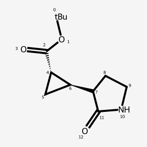 CC(C)(C)OC(=O)[C@H]1C[C@@H]1C1CCNC1=O